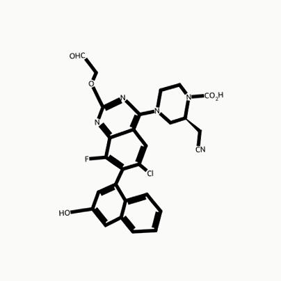 N#CC[C@H]1CN(c2nc(OCC=O)nc3c(F)c(-c4cc(O)cc5ccccc45)c(Cl)cc23)CCN1C(=O)O